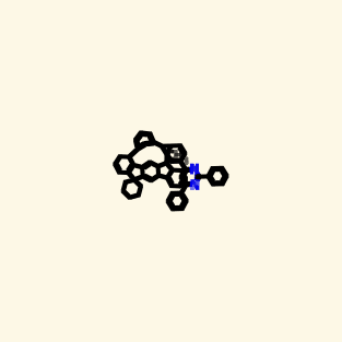 CC12C3CC=CC=C3C3C=C4C(=CC31)C1=C(C=CCC1c1cccc(c1)C1C3C=CC(c5cc(-c6ccccc6)nc(-c6ccccc6)n5)=CC312)C41CCCCC1